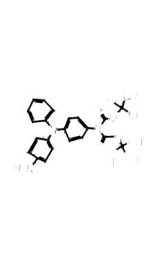 CC(C)(C)OC(=O)N(C(=O)OC(C)(C)C)c1ccc(N(c2ccccc2)c2ccc(N)cc2)cc1